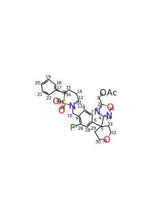 CC(=O)OCc1nc(C2(c3ccc(CN4[C@@H](C)CC[C@H](c5ccccc5)S4(=O)=O)c(F)c3)CCOCC2)no1